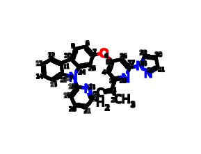 C=C(C)c1cc(Oc2ccc3c4ccccc4n(-c4ccccn4)c3c2)cc(-n2cccn2)n1